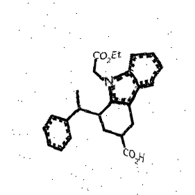 CCOC(=O)Cn1c2c(c3ccccc31)CC(C(=O)O)CC2C(C)c1ccccc1